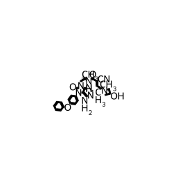 C[C@@H](Cn1c(=O)n(-c2ccc(Oc3ccccc3)cc2)c2c(N)ncnc21)NC(=O)C(C#N)=CC(C)(C)N1CC(O)C1